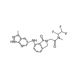 Cc1n[nH]c2ncc(Nc3cccc4c3C(=O)N(CC(=O)N(C)C(F)C(F)F)C4)cc12